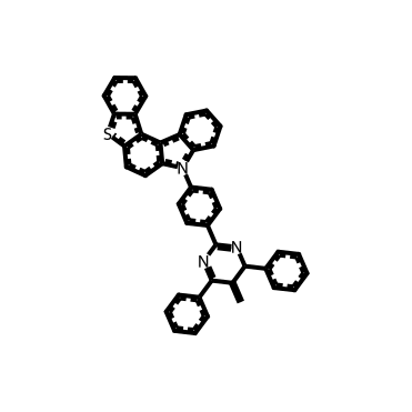 C=C1C(c2ccccc2)=NC(c2ccc(-n3c4ccccc4c4c5c(ccc43)sc3ccccc35)cc2)=NC1c1ccccc1